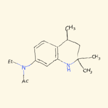 CCN(C(C)=O)c1ccc2c(c1)NC(C)(C)CC2C